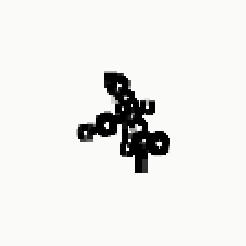 O=C(NC(Cc1cc(=O)[nH]c2ccccc12)C(=O)OCc1ccncn1)c1ccc(Cl)cc1